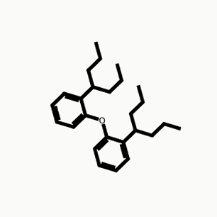 CCCC(CCC)c1ccccc1Oc1ccccc1C(CCC)CCC